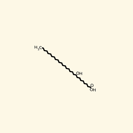 CCCCCCCCCCCCCCCCCCCC(O)CCCCCCCC(=O)O